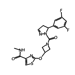 CNC(=O)c1csc(OC2CN(C(=O)N3N=CCC3c3cc(F)cc(F)c3)C2)n1